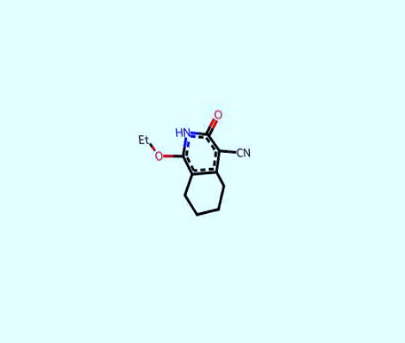 CCOc1[nH]c(=O)c(C#N)c2c1CCCC2